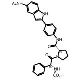 CC(=O)Nc1ccc2[nH]c(-c3ccc(NC(=O)[C@@H]4CCCN4C(=O)[C@H](NC(=O)O)c4ccccc4)cc3)cc2c1